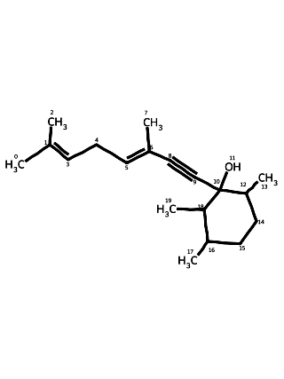 CC(C)=CCC=C(C)C#CC1(O)C(C)CCC(C)C1C